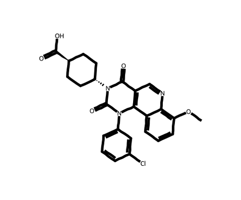 COc1cccc2c1ncc1c(=O)n([C@H]3CC[C@H](C(=O)O)CC3)c(=O)n(-c3cccc(Cl)c3)c12